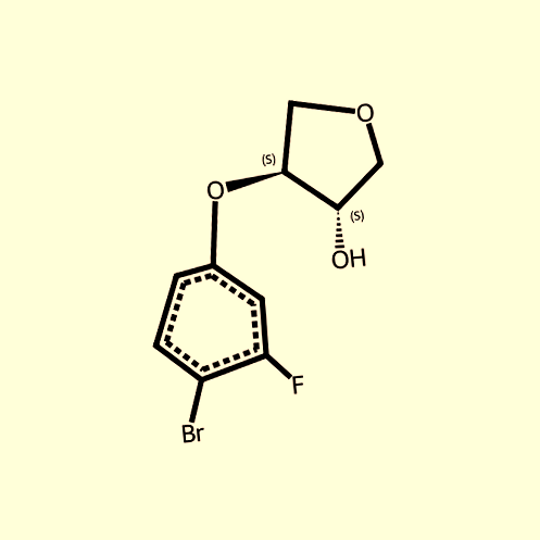 O[C@H]1COC[C@@H]1Oc1ccc(Br)c(F)c1